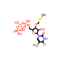 Cc1cn(C2OC(COP(=O)(O)OP(=O)(O)OP(=O)(O)O)C(OCSSC(C)(C)C)C2O)c(=O)[nH]c1=O